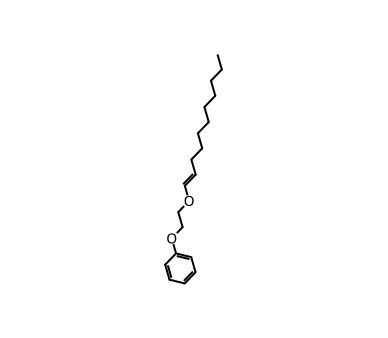 CCCCCCCCCC=COCCOc1ccccc1